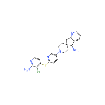 Nc1nccc(Sc2ccc(N3CCC4(CC3)Cc3ncccc3[C@H]4N)cn2)c1Cl